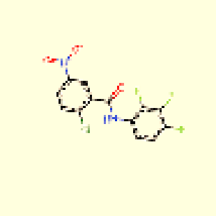 O=C(Nc1ccc(F)c(F)c1F)c1cc([N+](=O)[O-])ccc1Cl